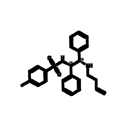 C=CCCN[C@@H](c1ccccc1)[C@H](NS(=O)(=O)c1ccc(C)cc1)c1ccccc1